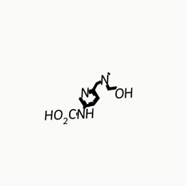 CN(CCO)Cc1ccc(NC(=O)O)cn1